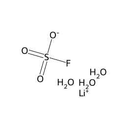 O.O.O.O=S(=O)([O-])F.[Li+]